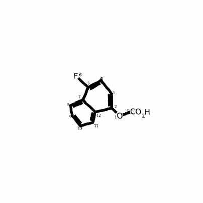 O=C(O)Oc1ccc(F)c2ccccc12